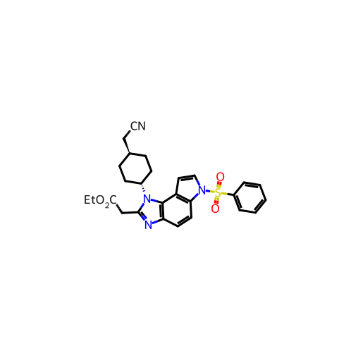 CCOC(=O)Cc1nc2ccc3c(ccn3S(=O)(=O)c3ccccc3)c2n1[C@H]1CC[C@H](CC#N)CC1